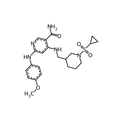 COc1ccc(Nc2cc(NCC3CCCN(S(=O)(=O)C4CC4)C3)c(C(N)=O)cn2)cc1